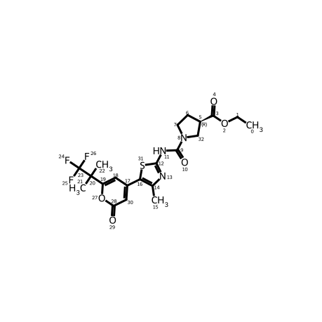 CCOC(=O)[C@@H]1CCN(C(=O)Nc2nc(C)c(-c3cc(C(C)(C)C(F)(F)F)oc(=O)c3)s2)C1